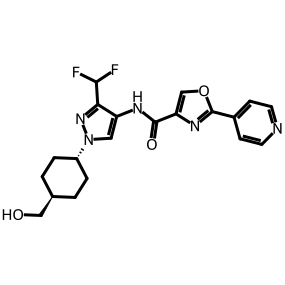 O=C(Nc1cn([C@H]2CC[C@H](CO)CC2)nc1C(F)F)c1coc(-c2ccncc2)n1